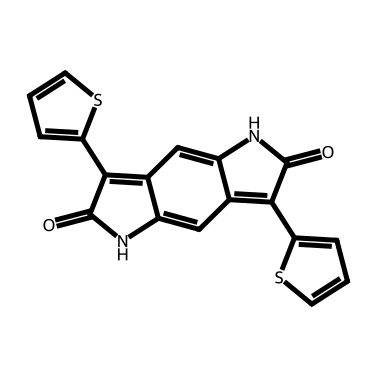 O=C1Nc2cc3c(cc2=C1c1cccs1)NC(=O)C=3c1cccs1